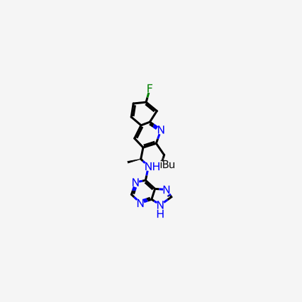 CCC(C)Cc1nc2cc(F)ccc2cc1[C@H](C)Nc1ncnc2[nH]cnc12